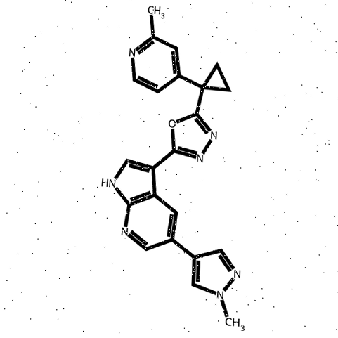 Cc1cc(C2(c3nnc(-c4c[nH]c5ncc(-c6cnn(C)c6)cc45)o3)CC2)ccn1